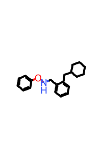 c1ccc(ONCc2ccccc2CC2CCCCC2)cc1